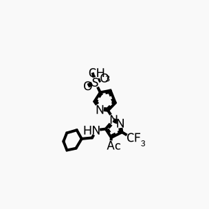 CC(=O)c1c(C(F)(F)F)nn(-c2ccc(S(C)(=O)=O)cn2)c1NCC1CCCCC1